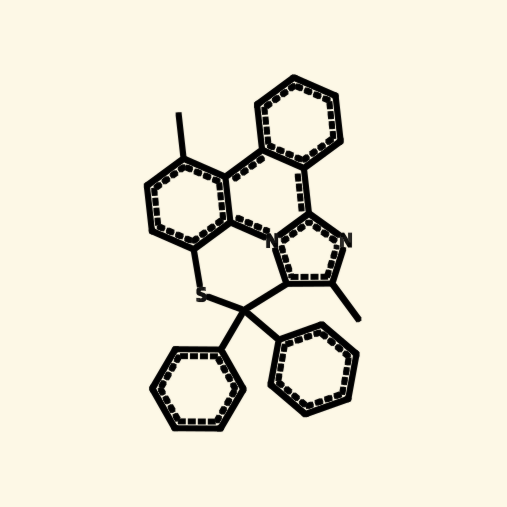 Cc1nc2c3ccccc3c3c(C)ccc4c3n2c1C(c1ccccc1)(c1ccccc1)S4